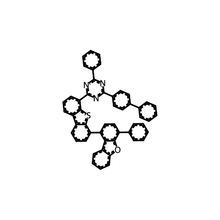 c1ccc(-c2ccc(-c3nc(-c4ccccc4)nc(-c4cccc5c4sc4c(-c6ccc(-c7ccccc7)c7oc8ccccc8c67)cccc45)n3)cc2)cc1